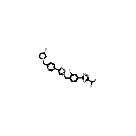 Fc1cc(-c2nnc(C(F)F)o2)ccc1Cn1cc(-c2ccc(CN3CC[C@H](F)C3)nc2)nn1